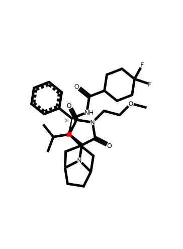 COCCN1C(=O)N(C(C)C)C2(CC3CCC(C2)N3CC[C@H](NC(=O)C2CCC(F)(F)CC2)c2ccccc2)C1=O